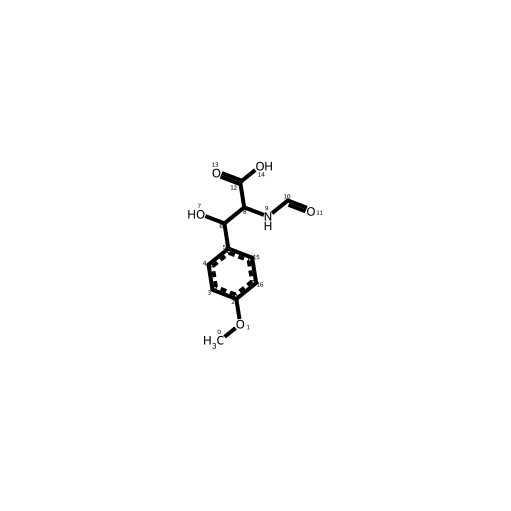 COc1ccc(C(O)C(NC=O)C(=O)O)cc1